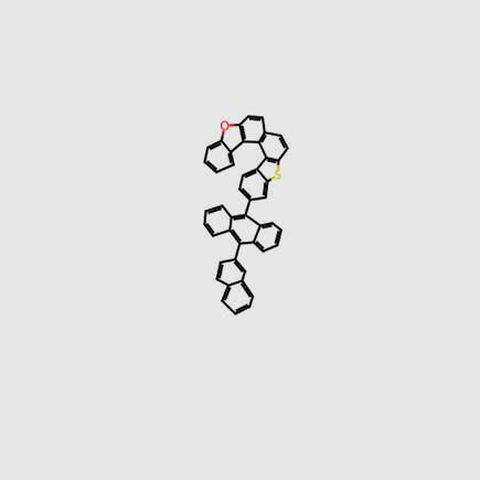 c1ccc2cc(-c3c4ccccc4c(-c4ccc5c(c4)sc4ccc6ccc7oc8ccccc8c7c6c45)c4ccccc34)ccc2c1